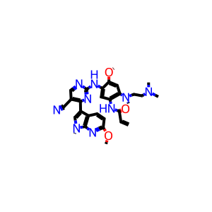 C=CC(=O)Nc1cc(Nc2ncc(C#N)c(-c3cn(C)c4nc(OC)ccc34)n2)c(OC)cc1N(C)CCN(C)C